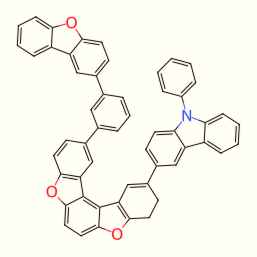 C1=C(c2ccc3c(c2)c2ccccc2n3-c2ccccc2)CCc2oc3ccc4oc5ccc(-c6cccc(-c7ccc8oc9ccccc9c8c7)c6)cc5c4c3c21